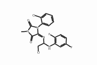 CN1C(=O)C(=NC(CCl)Nc2cc(F)ccc2F)N(c2ccccc2Cl)C1=O